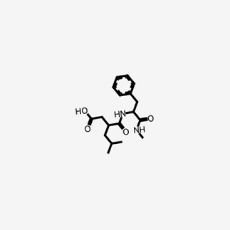 CNC(=O)C(Cc1ccccc1)NC(=O)C(CC(=O)O)CC(C)C